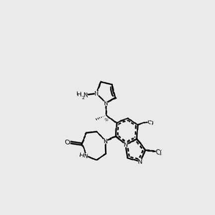 C[C@@H](c1cc(Cl)c2c(Cl)ncn2c1N1CCNC(=O)CC1)N1C=CCN1N